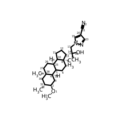 CO[C@@H]1C[C@@H]2C3CC[C@@]4(C)C(CC[C@@H]4C(C)(O)Cn4cc(C#N)cn4)[C@@H]3CC[C@]2(C)C[C@H]1C